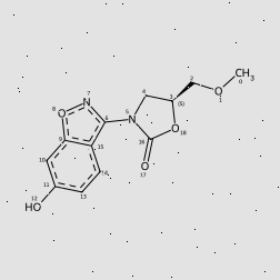 COC[C@@H]1CN(c2noc3cc(O)ccc23)C(=O)O1